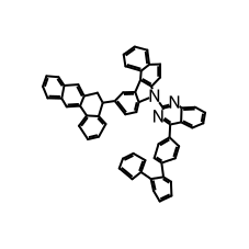 c1ccc(-c2ccccc2-c2ccc(-c3nc(-n4c5ccc(C6Cc7cc8ccccc8cc7-c7ccccc76)cc5c5c6ccccc6ccc54)nc4ccccc34)cc2)cc1